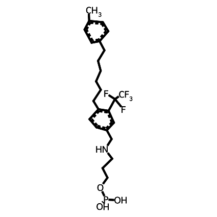 Cc1ccc(CCCCCCc2ccc(CNCCCO[PH](=O)O)cc2C(F)(F)C(F)(F)F)cc1